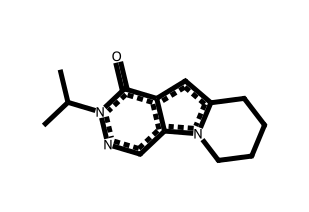 CC(C)n1ncc2c(cc3n2CCCC3)c1=O